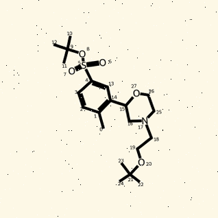 Cc1ccc(S(=O)(=O)OC(C)(C)C)cc1C1CN(CCOC(C)(C)C)CCO1